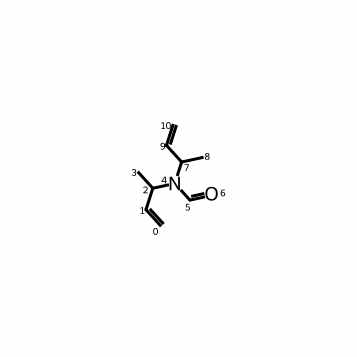 C=CC(C)N(C=O)C(C)C=C